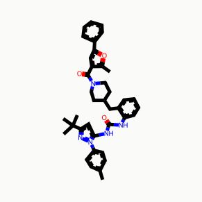 Cc1ccc(-n2nc(C(C)(C)C)cc2NC(=O)Nc2ccccc2CC2CCN(C(=O)c3cc(-c4ccccc4)oc3C)CC2)cc1